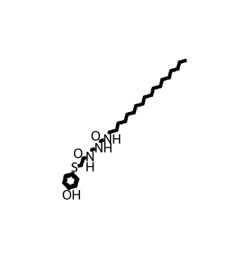 CCCCCCCCCCCCCCCCCCNC(=O)NCNC(=O)CSc1ccc(O)cc1